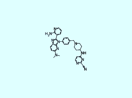 CN(C)c1ccc2nc(-c3cccnc3N)n(-c3ccc(CN4CCC(Nc5ccnc(C#N)n5)CC4)cc3)c2n1